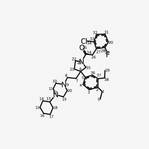 CCc1ccc(C2(CCN3CCN(C4CCCCC4)CC3)CCN(C(=O)Cc3c(F)cccc3Cl)C2)cc1CC